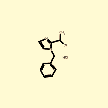 CC(O)c1nccn1Cc1ccccc1.Cl